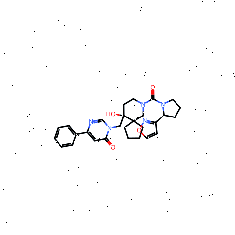 O=C(N1CCC(O)(Cn2cnc(-c3ccccc3)cc2=O)C2(CCCC2)C1)N1CCC[C@H]1c1ccon1